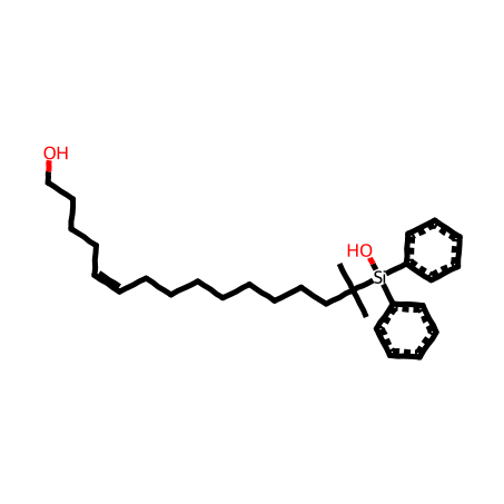 CC(C)(CCCCCCCC/C=C\CCCCO)[Si](O)(c1ccccc1)c1ccccc1